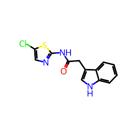 O=C(Cc1c[nH]c2ccccc12)Nc1ncc(Cl)s1